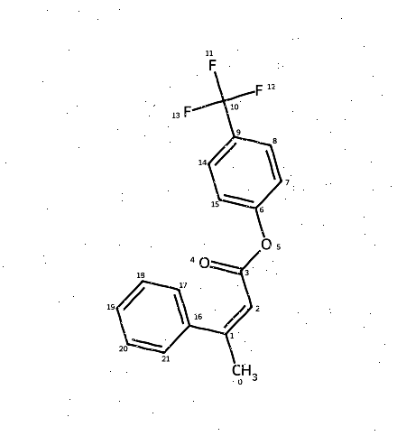 CC(=CC(=O)Oc1ccc(C(F)(F)F)cc1)c1ccccc1